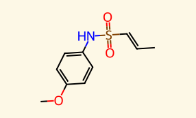 CC=CS(=O)(=O)Nc1ccc(OC)cc1